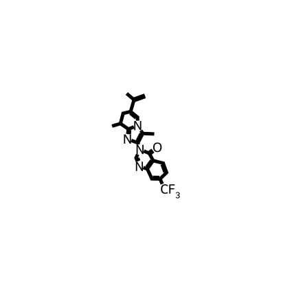 C=C(C)C1=Cn2c(nc(-n3cnc4cc(C(F)(F)F)ccc4c3=O)c2C)C(C)C1